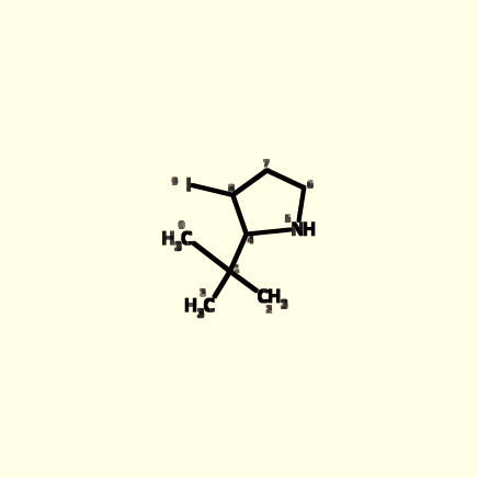 CC(C)(C)C1NCCC1I